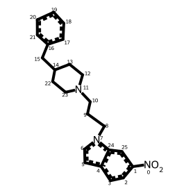 O=[N+]([O-])c1ccc2ccn(CCCN3CCC(Cc4ccccc4)CC3)c2c1